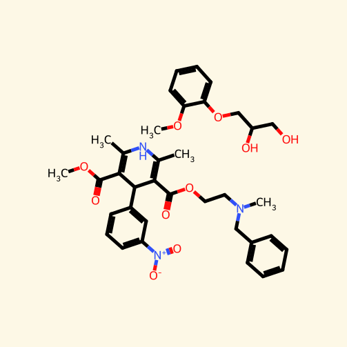 COC(=O)C1=C(C)NC(C)=C(C(=O)OCCN(C)Cc2ccccc2)C1c1cccc([N+](=O)[O-])c1.COc1ccccc1OCC(O)CO